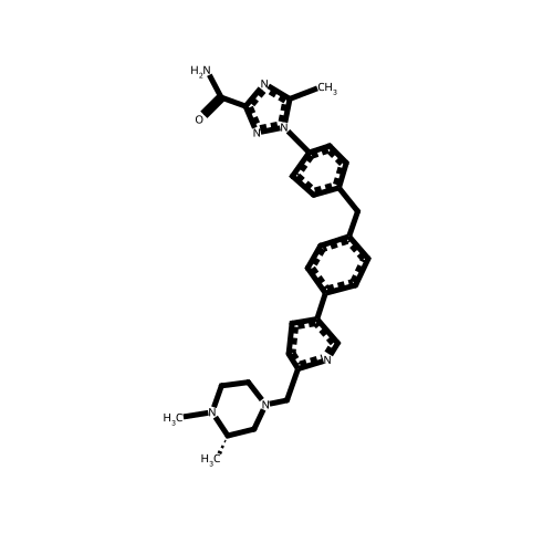 Cc1nc(C(N)=O)nn1-c1ccc(Cc2ccc(-c3ccc(CN4CCN(C)[C@@H](C)C4)nc3)cc2)cc1